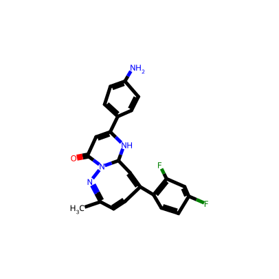 CC1=NN2C(=O)C=C(c3ccc(N)cc3)NC2C=C(c2ccc(F)cc2F)C=C1